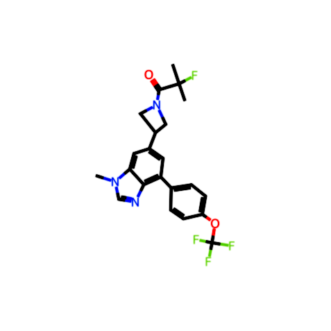 Cn1cnc2c(-c3ccc(OC(F)(F)F)cc3)cc(C3CN(C(=O)C(C)(C)F)C3)cc21